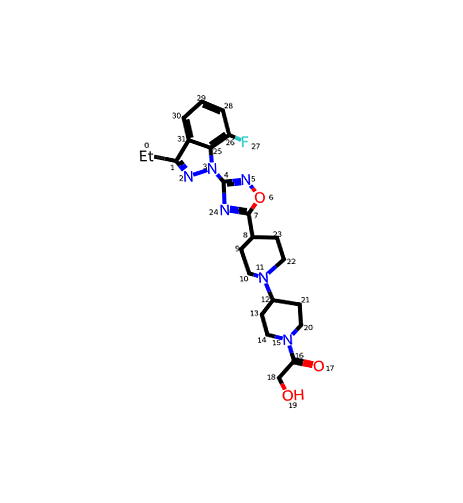 CCc1nn(-c2noc(C3CCN(C4CCN(C(=O)CO)CC4)CC3)n2)c2c(F)cccc12